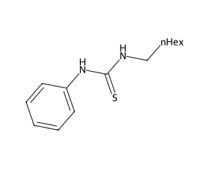 CCCCCCCNC(=S)Nc1ccccc1